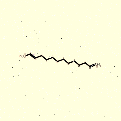 [CH2]CCC/C=C/CCCCCCCCCC=C